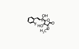 CO[C@H]1C(=O)O[C@@H]([C@H](O)C=Cc2ccccc2F)[C@H]1O